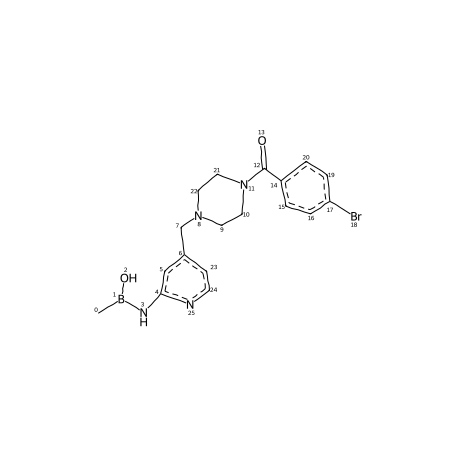 CB(O)Nc1cc(CN2CCN(C(=O)c3ccc(Br)cc3)CC2)ccn1